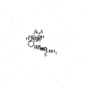 CCCN.CN(C)C(O)=S.FC(F)(F)c1ccccc1.NC(O)=S.O=NO.O=NO